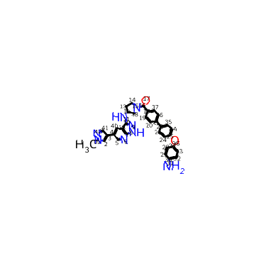 Cn1cc(-c2cnc3[nH]nc(N[C@@H]4CCN(C(=O)c5ccc(-c6ccc(Oc7ccc(N)cc7)cc6)cc5)C4)c3c2)cn1